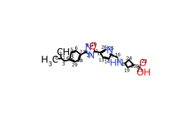 CC(C)Cc1ccc(-c2noc(-c3ccc(CN[C@H]4C[C@@H](C(=O)O)C4)nc3)n2)cc1